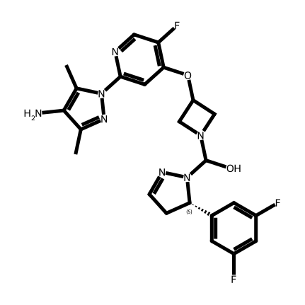 Cc1nn(-c2cc(OC3CN(C(O)N4N=CC[C@H]4c4cc(F)cc(F)c4)C3)c(F)cn2)c(C)c1N